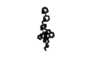 CCOCCN(c1cccc2cc(-c3ncc(CN4CCCC(c5ccccn5)C4)s3)[nH]c12)S(=O)(=O)c1cccs1